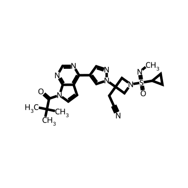 CN=S(=O)(C1CC1)N1CC(CC#N)(n2cc(-c3ncnc4c3ccn4C(=O)C(C)(C)C)cn2)C1